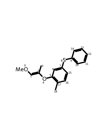 CO/C=C(\C)Oc1cc(Sc2ccccc2)ccc1C